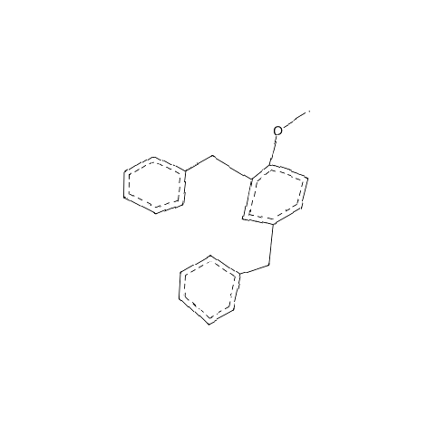 [CH2]Oc1ccc(Cc2ccccc2)cc1Cc1ccccc1